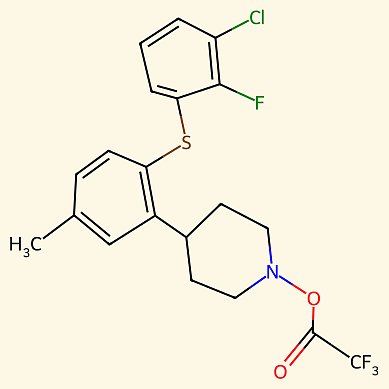 Cc1ccc(Sc2cccc(Cl)c2F)c(C2CCN(OC(=O)C(F)(F)F)CC2)c1